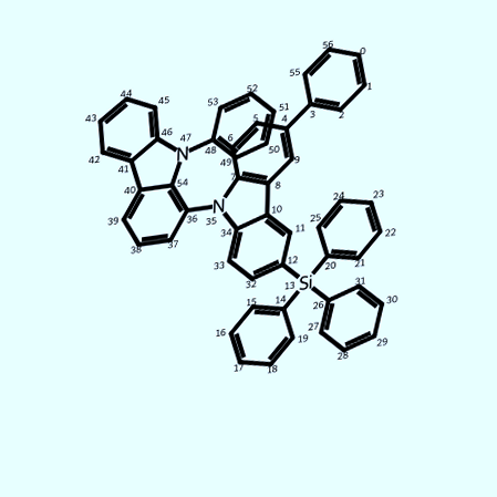 c1ccc(-c2ccc3c(c2)c2cc([Si](c4ccccc4)(c4ccccc4)c4ccccc4)ccc2n3-c2cccc3c4ccccc4n(-c4ccccc4)c23)cc1